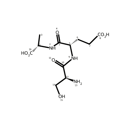 C[C@H](NC(=O)[C@H](CCC(=O)O)NC(=O)[C@@H](N)CO)C(=O)O